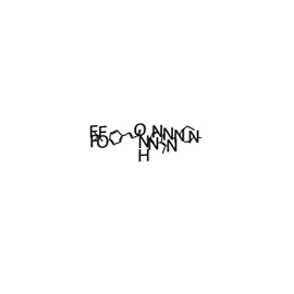 Cc1nc(N2CCCN(C)CC2)nc2ncc(NC(=O)/C=C/c3ccc(OC(F)(F)F)cc3)nc12